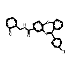 O=C(NCc1ccccc1Cl)c1ccc2c(c1)N=C(c1ccc(Cl)cc1)c1ccccc1S2